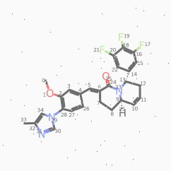 COc1cc(/C=C2\CC[C@@H]3C=CC[C@@H](c4cc(F)c(F)c(F)c4)N3C2=O)ccc1-n1cnc(C)c1